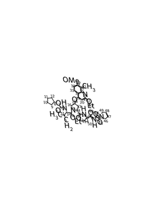 C=C(C)[C@H](NC(=O)OC1CCCC1)C(=O)N1C[C@H](Oc2cc(OCC)nc3c(C)c(OC)ccc23)C[C@H]1C(=O)N[C@]1(C(=O)NS(=O)(=O)N2CC=CC2)C[C@H]1CC